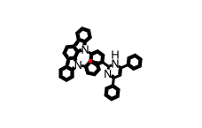 C1=C(c2ccccc2)NC(c2ccc(-n3c4ccccc4c4ccc5c6ccccc6n(-c6ccccc6)c5c43)cc2)N=C1c1ccccc1